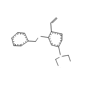 C=Cc1ccc(N(CO)CO)cc1OCc1ccccc1